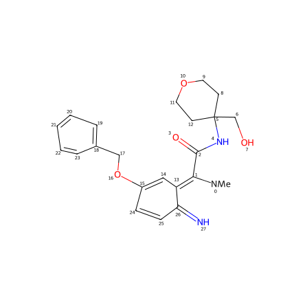 CN/C(C(=O)NC1(CO)CCOCC1)=C1/C=C(OCc2ccccc2)C=CC1=N